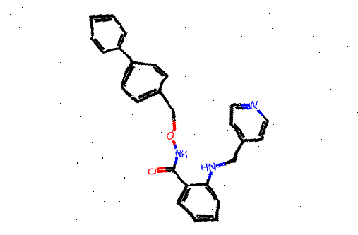 O=C(NOCc1ccc(-c2ccccc2)cc1)c1ccccc1NCc1ccncc1